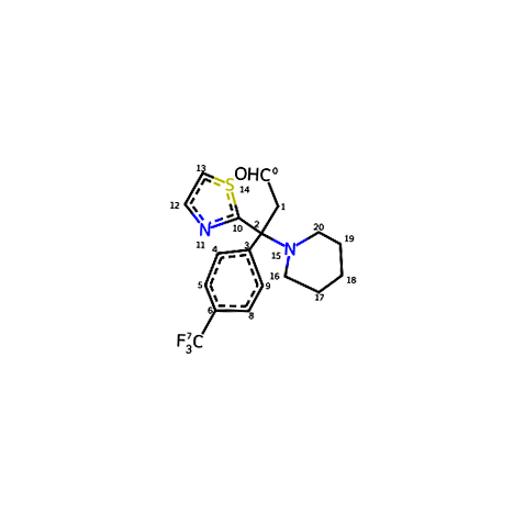 O=CCC(c1ccc(C(F)(F)F)cc1)(c1nccs1)N1CCCCC1